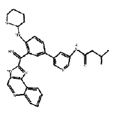 CC(C)CC(=O)Nc1cncc(-c2ccc(NC3CCCCO3)c(C(=N)c3nc4c(cnc5ccccc54)[nH]3)c2)c1